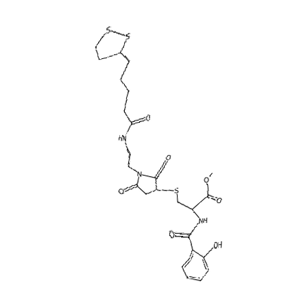 COC(=O)C(CSC1CC(=O)N(CCNC(=O)CCCCC2CCSS2)C1=O)NC(=O)c1ccccc1O